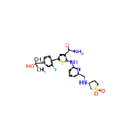 CC(C)(O)c1ccc(-c2cc(C(N)=O)c(Nc3cccc(CNC4CCS(=O)(=O)C4)n3)s2)c(F)c1